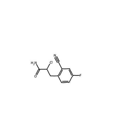 N#Cc1cc(F)[c]cc1CC(Cl)C(N)=O